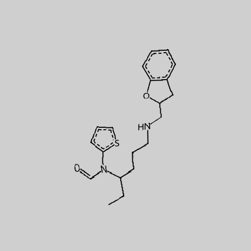 CCC(CCCNCC1Cc2ccccc2O1)N(C=O)c1cccs1